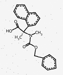 CN(C(=O)OCc1ccccc1)[C@@](C)(C(=O)O)c1cccc2ccccc12